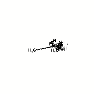 C=NC[C@]1(COP(=O)(O)OC[C@@H](COCCCCCCCCCCCCCCCCCC)OCc2cc(C#N)ccc2F)O[C@@H](c2ccc3c(N)ncnn23)[C@H](O)[C@@H]1O